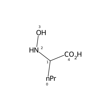 CCCC(NO)C(=O)O